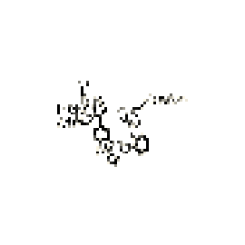 COCCCOC(=O)Cc1ccccc1OCc1c2cc(-c3ccnc(C(=N)NO)c3OC)ccc2nn1C1CCC1